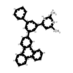 Cc1cc(-c2cc(-c3ccccc3)cc(-c3ccc4c5ccccc5c5ccccc5c4c3)c2)nc(C)n1